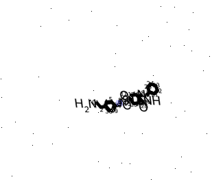 NCCc1ccc(/C=C/S(=O)(=O)N2CCC3(CC2)N=C(C2CCCCC2)NC3=O)cc1